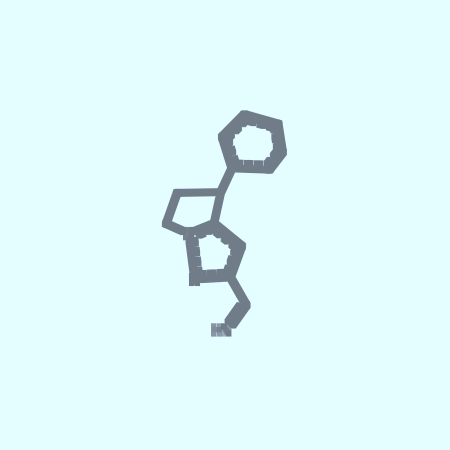 N=Cc1cc2n(n1)CCC2c1ccccc1